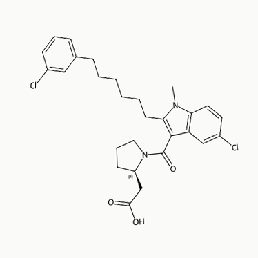 Cn1c(CCCCCCc2cccc(Cl)c2)c(C(=O)N2CCC[C@@H]2CC(=O)O)c2cc(Cl)ccc21